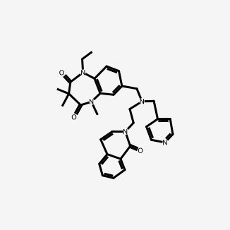 CCN1C(=O)C(C)(C)C(=O)N(C)c2cc(CN(CCn3ccc4ccccc4c3=O)Cc3ccncc3)ccc21